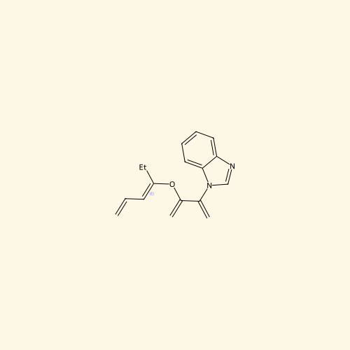 C=C/C=C(\CC)OC(=C)C(=C)n1cnc2ccccc21